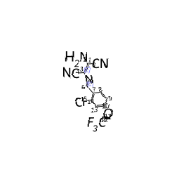 N#C/C(N)=C(C#N)\N=C\c1ccc(OC(F)(F)F)cc1Cl